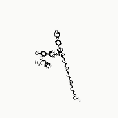 COCCOCCOCCOCCOCCOCCOc1nn([C@H]2CC[C@H](N3CCOCC3)CC2)cc1Nc1ncc(-c2ccc(Cl)c(O[C@@H](C)Cn3cnnn3)c2)cn1